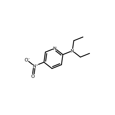 CCN(CC)c1ccc([N+](=O)[O-])cn1